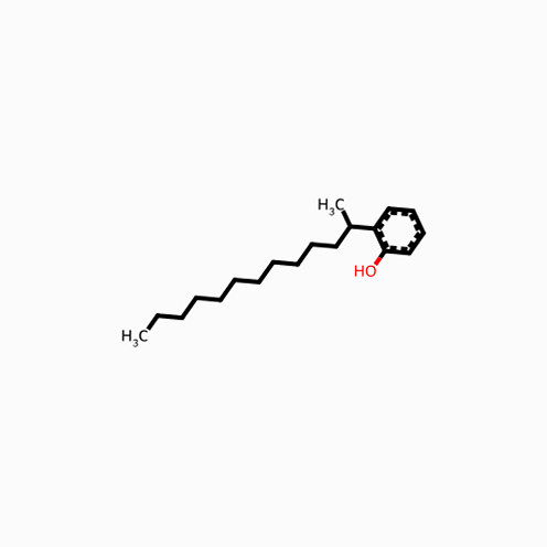 CCCCCCCCCCCC(C)c1ccccc1O